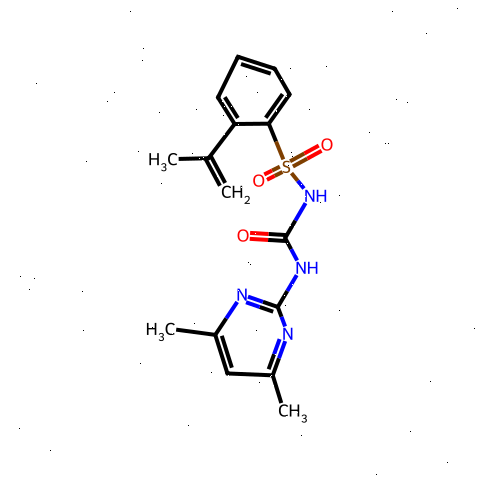 C=C(C)c1ccccc1S(=O)(=O)NC(=O)Nc1nc(C)cc(C)n1